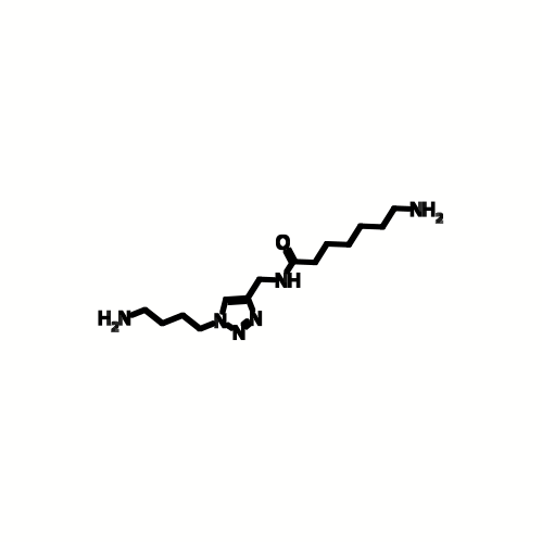 NCCCCCCC(=O)NCc1cn(CCCCN)nn1